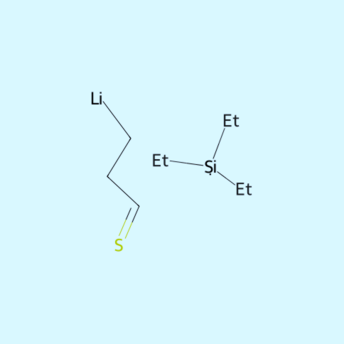 CC[Si](CC)CC.[Li][CH2]CC=S